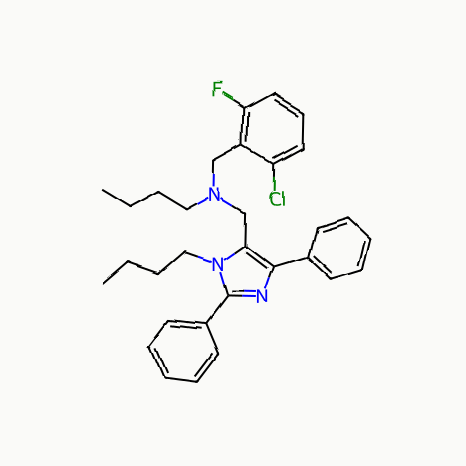 CCCCN(Cc1c(F)cccc1Cl)Cc1c(-c2ccccc2)nc(-c2ccccc2)n1CCCC